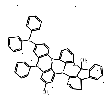 Cc1cc2c3c(c1)N(c1cccc4c1C(C)(C)c1ccccc1-4)c1ccccc1B3c1ccc(N(c3ccccc3)c3ccccc3)cc1N2c1ccccc1